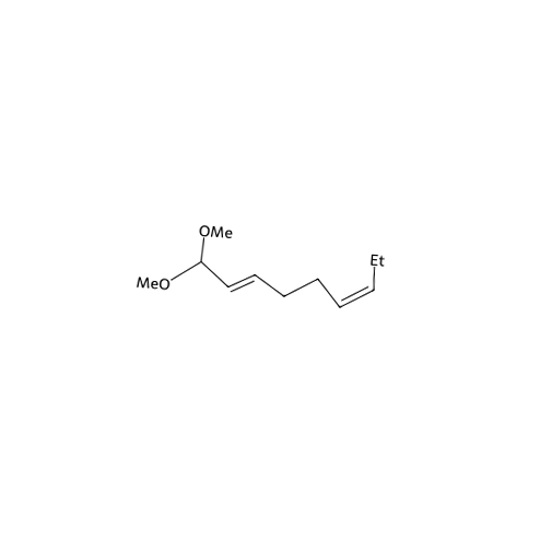 CC/C=C\CC/C=C/C(OC)OC